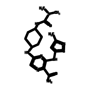 Cc1cc(Nc2nc(NC3CCC(NC(=O)N(C)C)CC3)cnc2C(N)=O)sn1